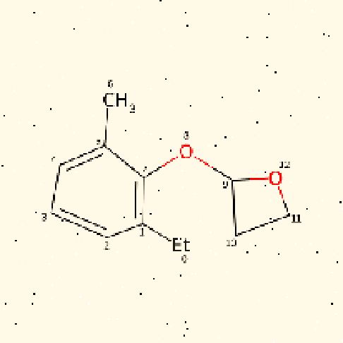 CCc1cccc(C)c1OC1CCO1